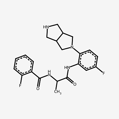 CC(NC(=O)c1ccccc1F)C(=O)Nc1cc(F)ccc1N1CC2CNCC2C1